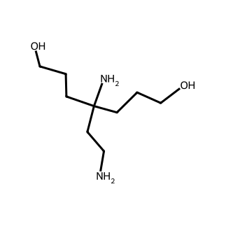 NCCC(N)(CCCO)CCCO